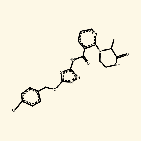 CC1C(=O)NCCN1c1ncccc1C(=O)Nc1nnc(OCc2ccc(Cl)cc2)s1